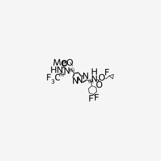 COC[C@H](c1cnn2cc([C@@H](NC(=O)OCC3(F)CC3)C3CCC(F)(F)CC3)nc2c1)N1C[C@@H](C(F)(F)F)NC1=O